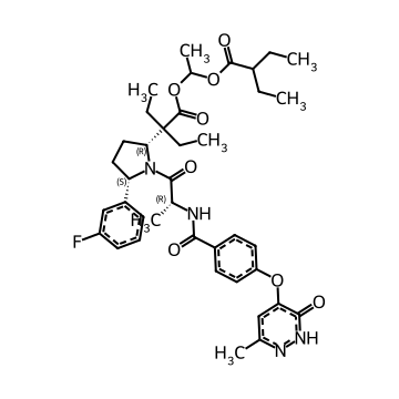 CCC(CC)C(=O)OC(C)OC(=O)C(CC)(CC)[C@H]1CC[C@@H](c2cccc(F)c2)N1C(=O)[C@@H](C)NC(=O)c1ccc(Oc2cc(C)n[nH]c2=O)cc1